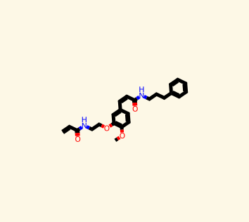 C=CC(=O)NCCOc1cc(/C=C\C(=O)NCCCc2ccccc2)ccc1OC